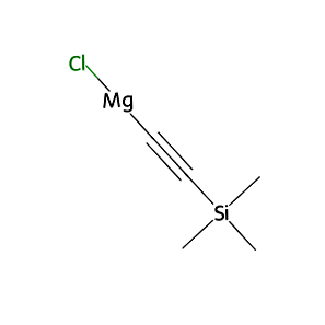 C[Si](C)(C)C#[C][Mg][Cl]